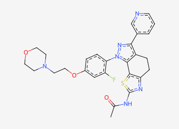 CC(=O)Nc1nc2c(s1)-c1c(c(-c3cccnc3)nn1-c1ccc(OCCN3CCOCC3)cc1F)CC2